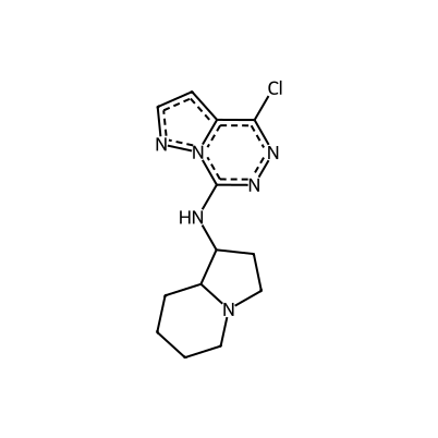 Clc1nnc(NC2CCN3CCCCC23)n2nccc12